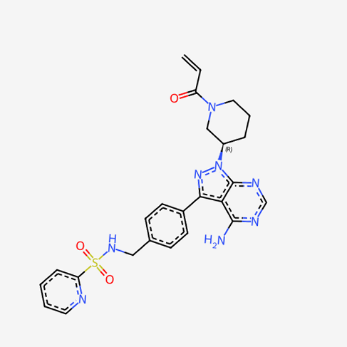 C=CC(=O)N1CCC[C@@H](n2nc(-c3ccc(CNS(=O)(=O)c4ccccn4)cc3)c3c(N)ncnc32)C1